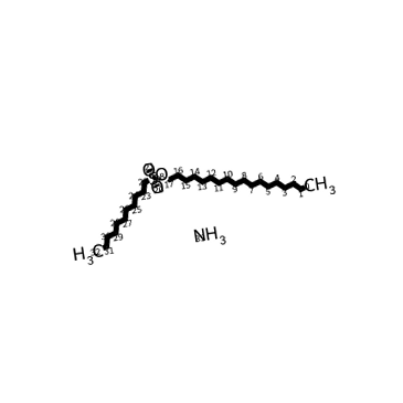 CCCCCCCCCCCCCCCCCCOS(=O)(=O)CCCCCCCCCCC.N